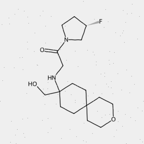 O=C(CNC1(CO)CCC2(CCOCC2)CC1)N1CC[C@H](F)C1